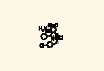 COc1ccc2nc(/C=C\c3ccc(Cl)cc3)nc(C3CCCCC3NN)c2c1.Cl.Cl